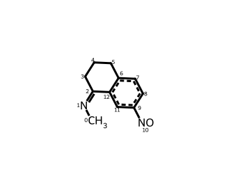 C/N=C1/CCCc2ccc(N=O)cc21